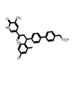 Cc1cc(/C(CC(c2ccc(-c3ccc(CC(=O)O)cc3)cc2)c2ccc(Cl)cc2F)=N/O)c[nH]c1=O